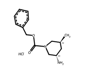 C[C@H]1C[C@H](N)CN(C(=O)OCc2ccccc2)C1.Cl